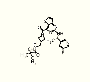 C[C@H](Nc1nc(C(=O)N2CC(CNC(=O)C(C)(C)C)C2)c2sccc2n1)c1cncc(F)c1